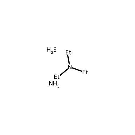 CCN(CC)CC.N.S